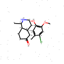 COc1cc(Br)c(C)c([C@@]23CCNC(C)C2CCC(=O)C3)c1O